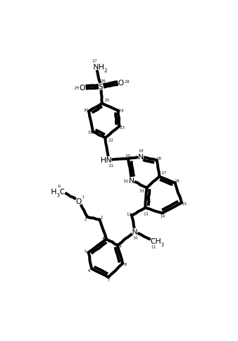 COCCc1ccccc1N(C)Cc1cccc2cnc(Nc3ccc(S(N)(=O)=O)cc3)nc12